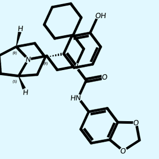 O=C(Nc1ccc2c(c1)OCO2)N(CCN1[C@@H]2CC[C@H]1C[C@@H](c1cccc(O)c1)C2)CC1CCCCC1